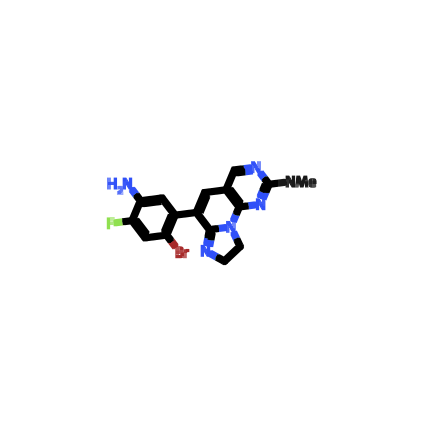 CNc1ncc2c(n1)N1CCN=C1C(c1cc(N)c(F)cc1Br)=C2